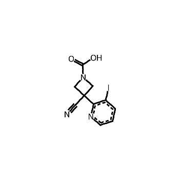 N#CC1(c2ncccc2I)CN(C(=O)O)C1